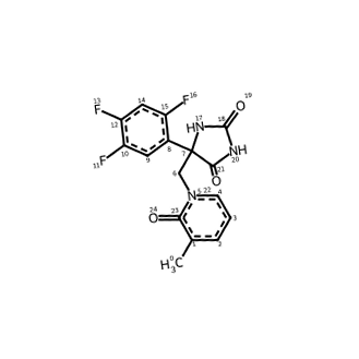 Cc1cccn(CC2(c3cc(F)c(F)cc3F)NC(=O)NC2=O)c1=O